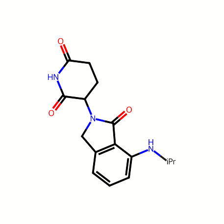 CC(C)Nc1cccc2c1C(=O)N(C1CCC(=O)NC1=O)C2